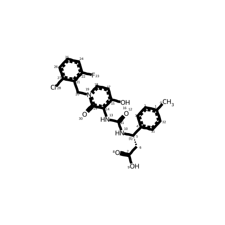 Cc1ccc([C@H](CC(=O)O)NC(=O)Nc2c(O)ccn(Cc3c(F)cccc3Cl)c2=O)cc1